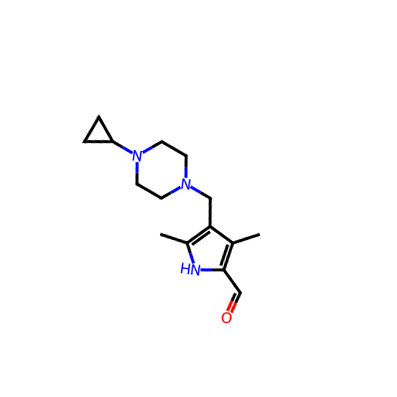 Cc1[nH]c(C=O)c(C)c1CN1CCN(C2CC2)CC1